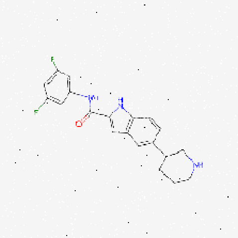 O=C(Nc1cc(F)cc(F)c1)c1cc2cc(C3CCCNC3)ccc2[nH]1